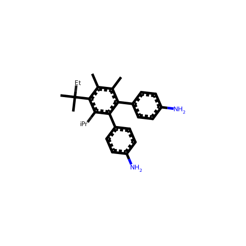 CCC(C)(C)c1c(C)c(C)c(-c2ccc(N)cc2)c(-c2ccc(N)cc2)c1C(C)C